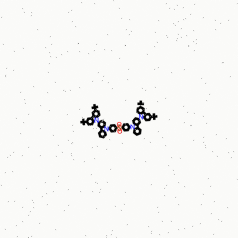 CC(C)(C)C1CCC2C(C1)C1CC(C(C)(C)C)CCC1N2C1CCC2C(C1)C1CCCCC1N2C1CCC(S(=O)(=O)C2CCC(N3C4CCCCC4C4CC(N5C6CCC(C(C)(C)C)CC6C6C[C@@H](C(C)(C)C)CCC65)CCC43)CC2)CC1